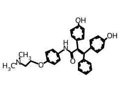 CN(C)CCOc1ccc(NC(=O)/C(=C(\c2ccccc2)c2ccc(O)cc2)c2ccc(O)cc2)cc1